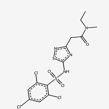 CCN(C)C(=O)Cc1nsc(NS(=O)(=O)c2c(Cl)cc(Cl)cc2Cl)n1